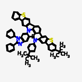 CC(C)(C)c1ccc(N2B3c4cc5nc(-c6ccccc6)n(-c6ccccc6)c5cc4-n4c5cc6c(cc5c5ccc(c3c54)-c3cc4sc5cc(C(C)(C)C)ccc5c4cc32)sc2ccccc26)cc1